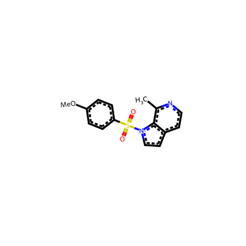 COc1ccc(S(=O)(=O)n2ccc3ccnc(C)c32)cc1